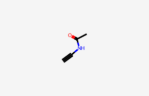 C#CNC(C)=O